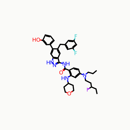 CCCN(CCC(I)CC)c1ccc(C(=O)Nc2n[nH]c3cc(-c4cccc(O)c4)c(Cc4cc(F)cc(F)c4)cc23)c(NC2CCOCC2)c1